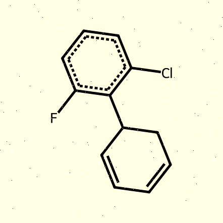 Fc1cccc(Cl)c1C1C=CC=CC1